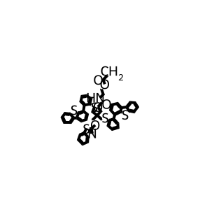 C=CC(=O)OCCNC(=O)OCC(COc1nc2ccccc2s1)(CSc1ccccc1-c1cccc2c1sc1ccccc12)CSc1ccccc1-c1cccc2c1sc1ccccc12